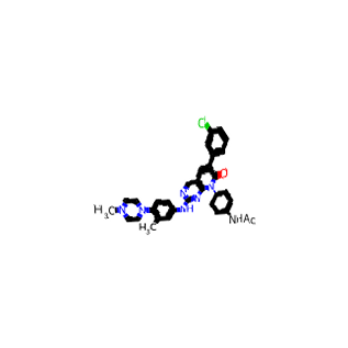 CC(=O)N[C@H]1CC[C@H](n2c(=O)c(-c3cccc(Cl)c3)cc3cnc(Nc4ccc(N5CCN(C)CC5)c(C)c4)nc32)CC1